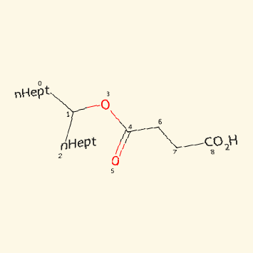 CCCCCCCC(CCCCCCC)OC(=O)CCC(=O)O